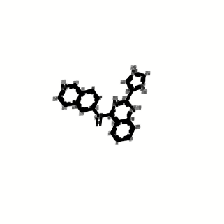 c1ccc2c(Nc3ccc4cnccc4c3)nc(-c3cncs3)nc2c1